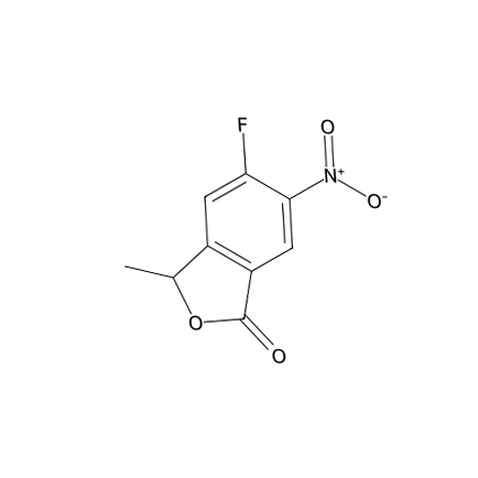 CC1OC(=O)c2cc([N+](=O)[O-])c(F)cc21